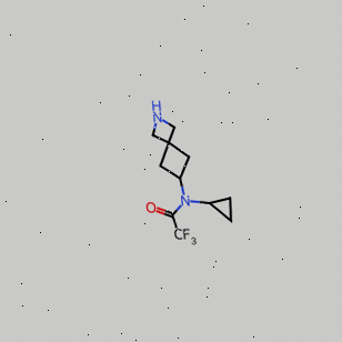 O=C(N(C1CC1)C1CC2(CNC2)C1)C(F)(F)F